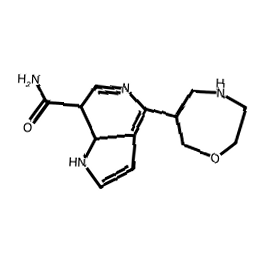 NC(=O)C1C=NC(C2CNCCOC2)=C2C=CNC21